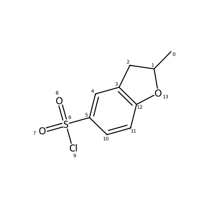 CC1Cc2cc(S(=O)(=O)Cl)ccc2O1